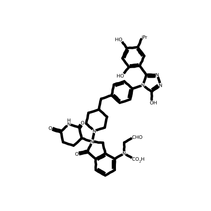 CC(C)c1cc(-c2nnc(O)n2-c2ccc(CC3CCN([N+]4(C5CCC(=O)NC5=O)Cc5c(cccc5N(CC=O)C(=O)O)C4=O)CC3)cc2)c(O)cc1O